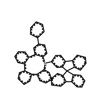 c1ccc(-c2ccc3c(c2)c2ccccc2c2ccccc2c2ccccc2n3-c2ccc3c(c2)C2(c4ccccc4-c4ccccc42)c2ccccc2-3)cc1